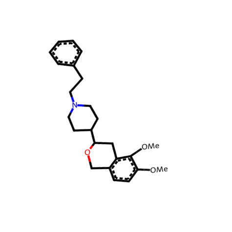 COc1ccc2c(c1OC)CC(C1CCN(CCc3ccccc3)CC1)OC2